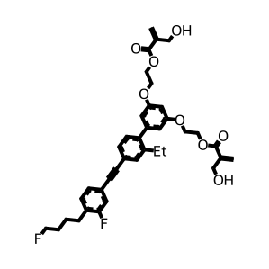 C=C(CO)C(=O)OCCOc1cc(OCCOC(=O)C(=C)CO)cc(-c2ccc(C#Cc3ccc(CCCCF)c(F)c3)cc2CC)c1